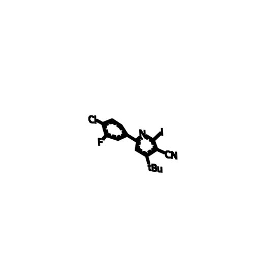 CC(C)(C)c1cc(-c2ccc(Cl)c(F)c2)nc(I)c1C#N